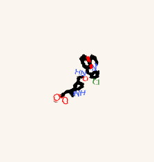 COC(=O)Cc1c[nH]c2ccc(CC(=O)NC(c3ccccc3)c3cc(Cl)ccc3N3CCCCC3)cc12